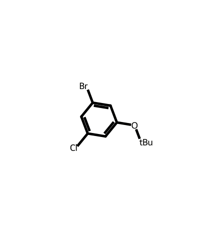 CC(C)(C)Oc1cc(Cl)cc(Br)c1